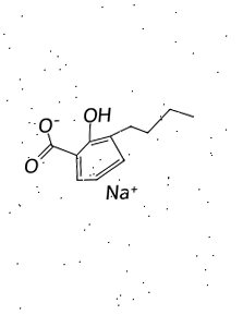 CCCCc1cccc(C(=O)[O-])c1O.[Na+]